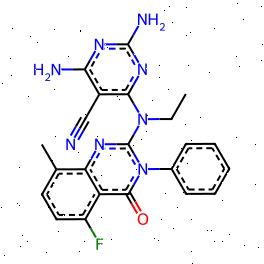 CCN(c1nc(N)nc(N)c1C#N)c1nc2c(C)ccc(F)c2c(=O)n1-c1ccccc1